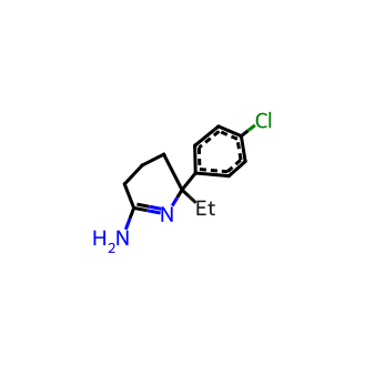 CCC1(c2ccc(Cl)cc2)CCCC(N)=N1